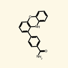 NC(=O)c1ccc(-c2cccc3c2Nc2ccccc2O3)cc1